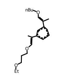 CCCCOC=C(C)c1cccc(C(C)=COCCCOCC)c1